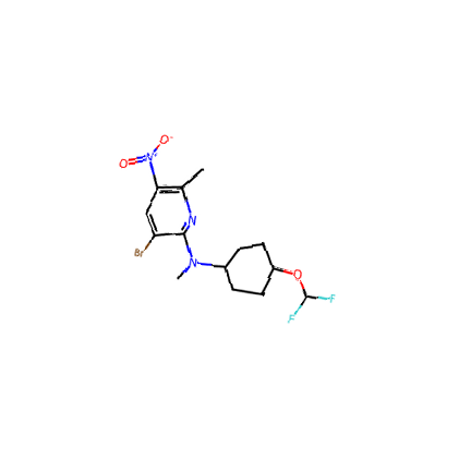 Cc1nc(N(C)C2CCC(OC(F)F)CC2)c(Br)cc1[N+](=O)[O-]